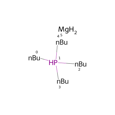 CCCC[PH](CCCC)(CCCC)CCCC.[MgH2]